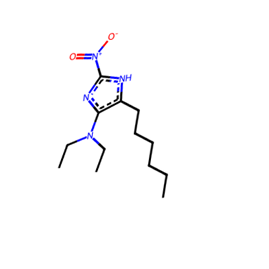 CCCCCCc1[nH]c([N+](=O)[O-])nc1N(CC)CC